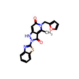 Cc1c2c(=O)n(-c3nc4ccccc4s3)[nH]c2cc(=O)n1Cc1ccco1